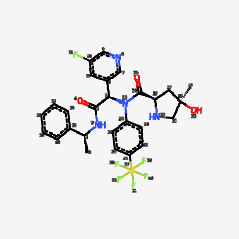 C[C@H](NC(=O)[C@@H](c1cncc(F)c1)N(C(=O)[C@H]1C[C@@](C)(O)CN1)c1ccc(S(F)(F)(F)(F)F)cc1)c1ccccc1